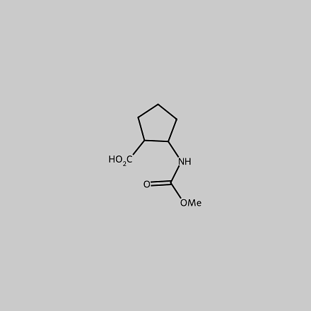 COC(=O)NC1CCCC1C(=O)O